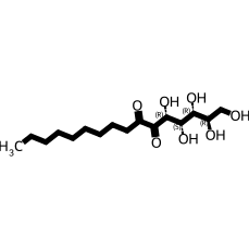 CCCCCCCCCC(=O)C(=O)[C@H](O)[C@@H](O)[C@H](O)[C@H](O)CO